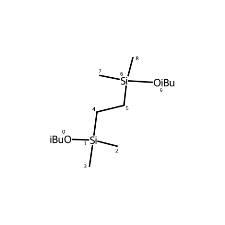 CC(C)CO[Si](C)(C)CC[Si](C)(C)OCC(C)C